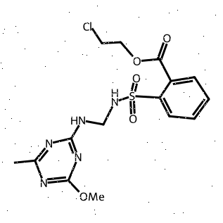 COc1nc(C)nc(NCNS(=O)(=O)c2ccccc2C(=O)OCCCl)n1